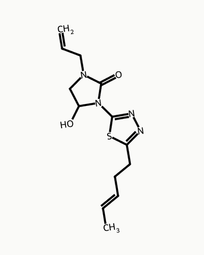 C=CCN1CC(O)N(c2nnc(CCC=CC)s2)C1=O